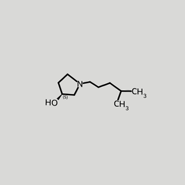 CC(C)CCCN1CC[C@H](O)C1